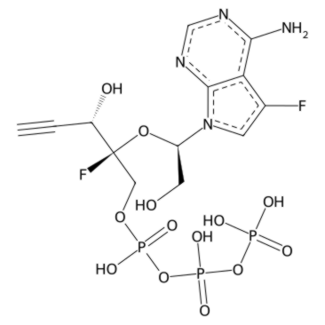 C#C[C@H](O)[C@@](F)(COP(=O)(O)OP(=O)(O)OP(=O)(O)O)O[C@H](CO)n1cc(F)c2c(N)ncnc21